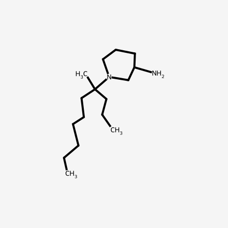 CCCCCCC(C)(CCC)N1CCCC(N)C1